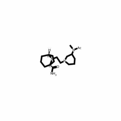 CC(=O)N(C)C1CCCN(CCN2[C@@H]3C[CH]C[C@@]2(C(N)=O)CC3)C1